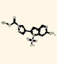 Cc1cc2c(cn1)cc(-c1cnn(C(=O)OC(C)(C)C)c1)n2S(C)(=O)=O